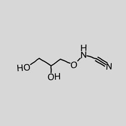 N#CNOCC(O)CO